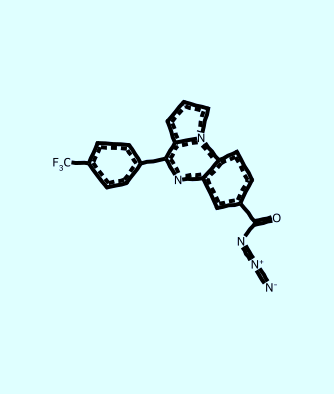 [N-]=[N+]=NC(=O)c1ccc2c(c1)nc(-c1ccc(C(F)(F)F)cc1)c1cccn12